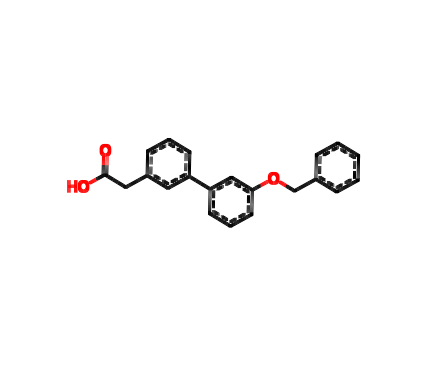 O=C(O)Cc1cccc(-c2cccc(OCc3ccccc3)c2)c1